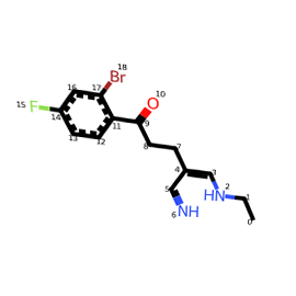 CCN/C=C(\C=N)CCC(=O)c1ccc(F)cc1Br